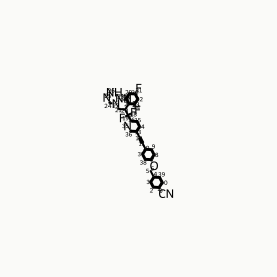 N#Cc1ccc(COc2ccc(C#Cc3ccc(C(F)(F)C(CN(N)/C=N\N)c4ccc(F)cc4F)nc3)cc2)cc1